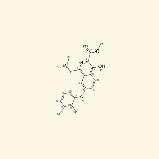 COC(=O)c1nc(CN(C)C)c2cc(Oc3cccc(F)c3F)ccc2c1O